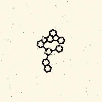 c1ccc(-c2nc(-c3ccc4ccccc4c3)nc(-c3cccc4oc5c6cccc7c6c(cc5c34)-c3ccccc3-7)n2)cc1